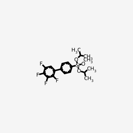 CO[Si](OC(C)C)(OC(C)C)c1ccc(-c2cc(F)c(F)c(F)c2F)cc1